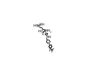 NC(CCCCB(O)O)(C(=O)O)[C@H]1C[C@@H](NCC2CCN(c3ccc(C(F)(F)F)cc3)CC2)C1